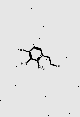 Nc1c(O)ccc(CCO)c1[N+](=O)[O-]